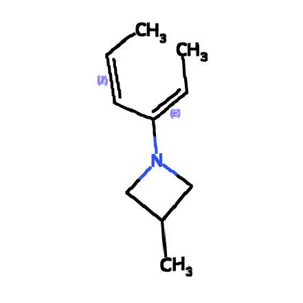 C/C=C\C(=C/C)N1CC(C)C1